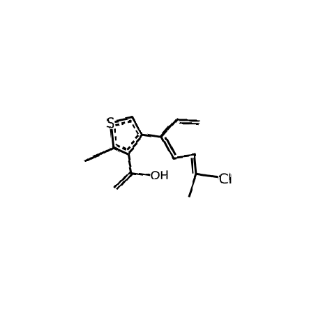 C=C/C(=C\C=C(/C)Cl)c1csc(C)c1C(=C)O